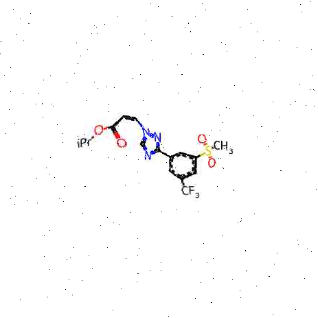 CC(C)OC(=O)/C=C\n1cnc(-c2cc(C(F)(F)F)cc(S(C)(=O)=O)c2)n1